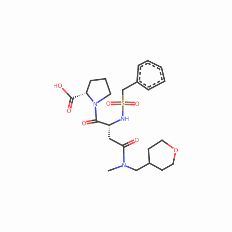 CN(CC1CCOCC1)C(=O)C[C@@H](NS(=O)(=O)Cc1ccccc1)C(=O)N1CCC[C@H]1C(=O)O